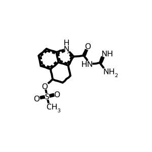 CS(=O)(=O)OC1CCc2c(C(=O)NC(=N)N)[nH]c3cccc1c23